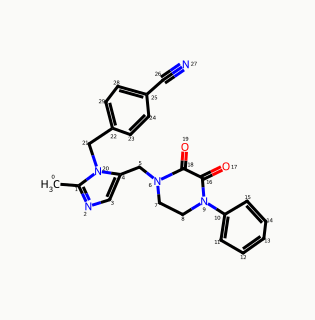 Cc1ncc(CN2CCN(c3ccccc3)C(=O)C2=O)n1Cc1ccc(C#N)cc1